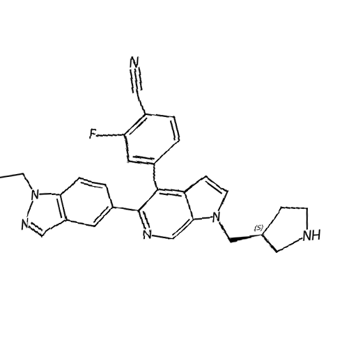 CCn1ncc2cc(-c3ncc4c(ccn4C[C@H]4CCNC4)c3-c3ccc(C#N)c(F)c3)ccc21